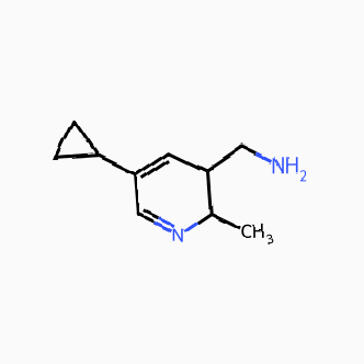 CC1N=CC(C2CC2)=CC1CN